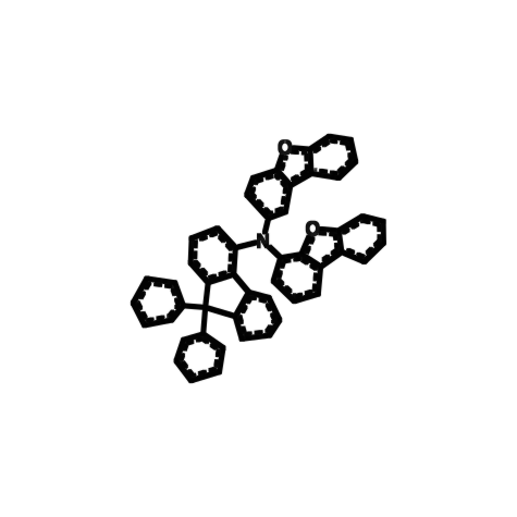 c1ccc(C2(c3ccccc3)c3ccccc3-c3c(N(c4ccc5oc6ccccc6c5c4)c4cccc5c4oc4ccccc45)cccc32)cc1